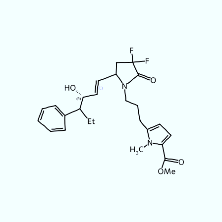 CCC(c1ccccc1)[C@H](O)/C=C/C1CC(F)(F)C(=O)N1CCCc1ccc(C(=O)OC)n1C